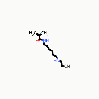 C=C(C)C(=O)NCCCCCCNCCC#N